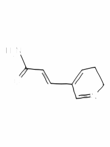 NC(=O)/C=C/C1=CCCN=C1